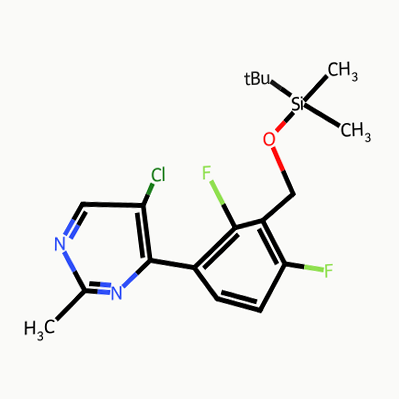 Cc1ncc(Cl)c(-c2ccc(F)c(CO[Si](C)(C)C(C)(C)C)c2F)n1